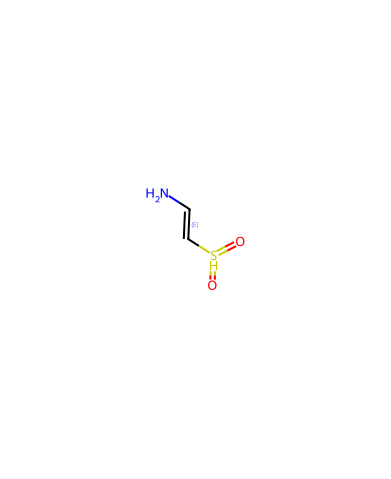 N/C=C/[SH](=O)=O